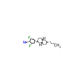 C=CCC[C@@H]1CC[C@@H]2C[C@H](c3cc(F)c(C#N)c(F)c3)CC[C@@H]2C1